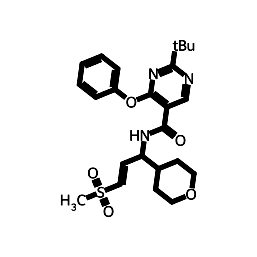 CC(C)(C)c1ncc(C(=O)NC(C=CS(C)(=O)=O)C2CCOCC2)c(Oc2ccccc2)n1